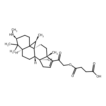 CN[C@H]1CCC23[C@@H](C)[C@]24CC[C@]2(C)C(C(=O)COC(=O)CCC(=O)O)=CC[C@@]2(C)[C@@H]4CC[C@H]3C1(C)C